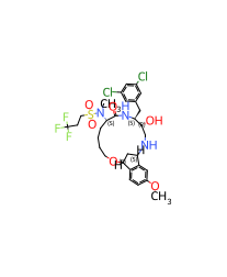 COc1ccc2c(c1)[C@@H]1C[C@H]2OCCCC[C@H](N(C)S(=O)(=O)CCC(F)(F)F)C(=O)N[C@@H](Cc2cc(Cl)cc(Cl)c2)[C@H](O)CN1